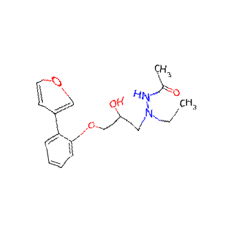 CCN(CC(O)COc1ccccc1-c1ccoc1)NC(C)=O